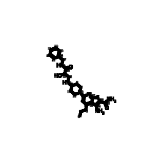 CCCc1cc(N2CCC(NCC(O)C(=O)NCc3ccccc3)CC2)nc2sc(C(N)=O)c(N)c12